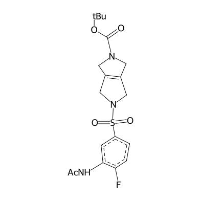 CC(=O)Nc1cc(S(=O)(=O)N2CC3=C(CN(C(=O)OC(C)(C)C)C3)C2)ccc1F